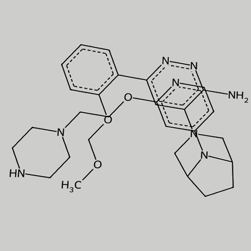 COCOc1ccccc1-c1cc(N2CC3CCC(C2)N3c2ccnc(OCCN3CCNCC3)c2)c(N)nn1